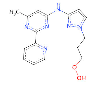 Cc1cc(Nc2ccn(CCCOO)n2)nc(-c2ccccn2)n1